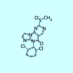 C[S+]([O-])c1ncc2c(=O)n(-c3c(Cl)cccc3Cl)c3nccn3c2n1